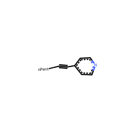 CCCCCC#Cc1ccncc1